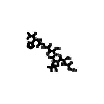 CCCCC(NC(=O)[C@@H]1C2[C@H](CN1C(=O)[C@@H](NC(=O)OC(C)(C)C)C(C)(C)C)C2(C)C)C(=O)C(=O)NCC(=O)N[C@H](C(=O)N(C)C)c1cccs1